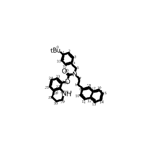 CC(C)(C)c1ccc(CN(CCc2ccc3ccccc3c2)C(=O)Oc2cccc3c2NCCC3)cc1